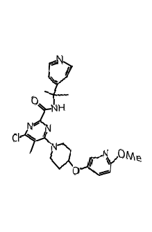 COc1ccc(OC2CCN(c3nc(C(=O)NC(C)(C)c4ccncc4)nc(Cl)c3C)CC2)cn1